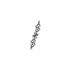 Fc1cc2sc3c4sc(-c5nc6sc(-c7cc8sc9c%10sc(F)cc%10sc9c8s7)nc6s5)cc4sc3c2s1